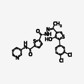 CC(=NNC(=O)c1ccc(C(=O)Nc2cccnc2)s1)c1csc(-c2ccc(Cl)c(Cl)c2)c1O